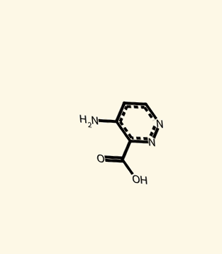 Nc1ccnnc1C(=O)O